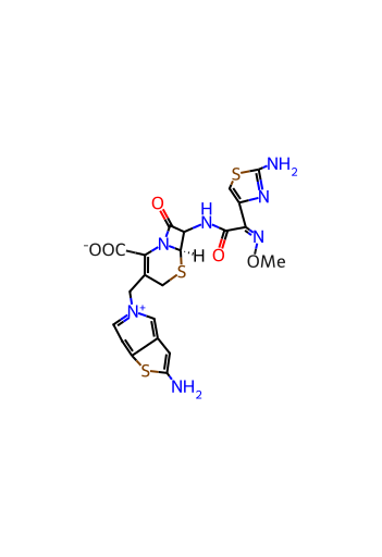 CO/N=C(\C(=O)NC1C(=O)N2C(C(=O)[O-])=C(C[n+]3ccc4sc(N)cc4c3)CS[C@H]12)c1csc(N)n1